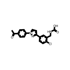 CC(=O)c1ccc(-n2ccc(-c3ccc(Cl)c(CNC(=O)O)c3)n2)cc1